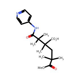 COC(=O)C(C)(C)CC(C)(C(=O)O)C(C)(C)C(=O)Nc1ccncc1